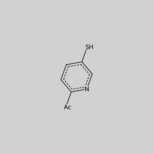 CC(=O)c1ccc(S)cn1